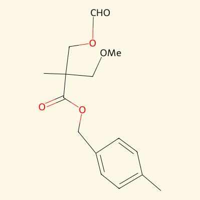 COCC(C)(COC=O)C(=O)OCc1ccc(C)cc1